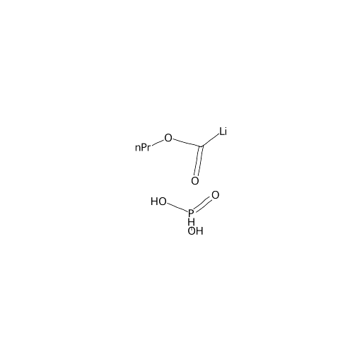 O=[PH](O)O.[Li][C](=O)OCCC